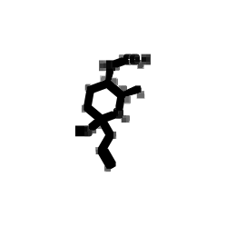 C=CCC1(O)CC[C@@H](NC(=O)O)[C@@H](C)O1